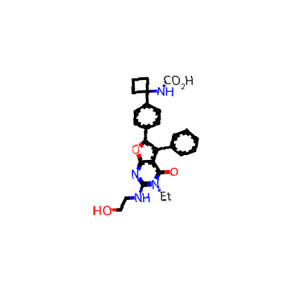 CCn1c(NCCO)nc2oc(-c3ccc(C4(NC(=O)O)CCC4)cc3)c(-c3ccccc3)c2c1=O